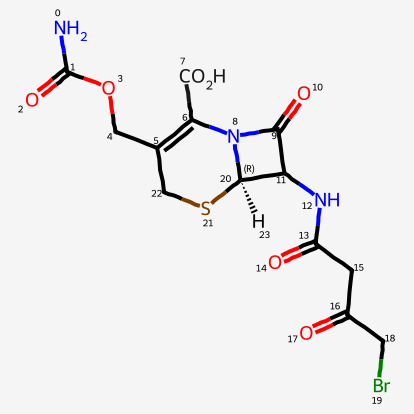 NC(=O)OCC1=C(C(=O)O)N2C(=O)C(NC(=O)CC(=O)CBr)[C@H]2SC1